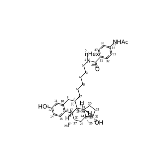 CCCCCCN(CCCCCC[C@@H]1Cc2cc(O)ccc2[C@@H]2[C@@H]1[C@@H]1CC[C@H](O)[C@@]1(C)C[C@@H]2F)C(=O)c1ccc(NC(C)=O)cc1